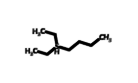 CCCC[SH](CC)CC